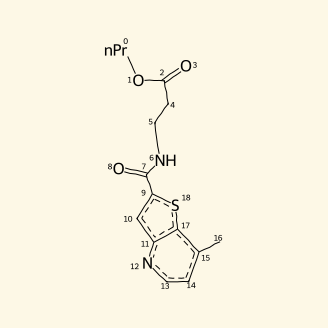 CCCOC(=O)CCNC(=O)c1cc2nccc(C)c2s1